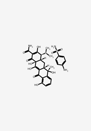 CN(C)[C@@H]1C(O)=C(C(N)=O)C(=O)[C@@]2(O)C(O)=C3C(=O)c4c(O)cccc4[C@@](C)(O)[C@H]3C[C@@H]12.Nc1ccc(S(N)(=O)=O)cc1